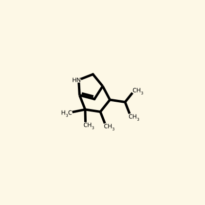 CC(C)C1C2C=C(NC2)C(C)(C)C1C